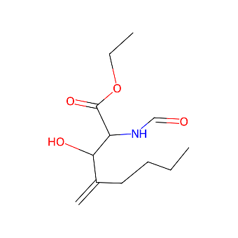 C=C(CCCC)C(O)C(NC=O)C(=O)OCC